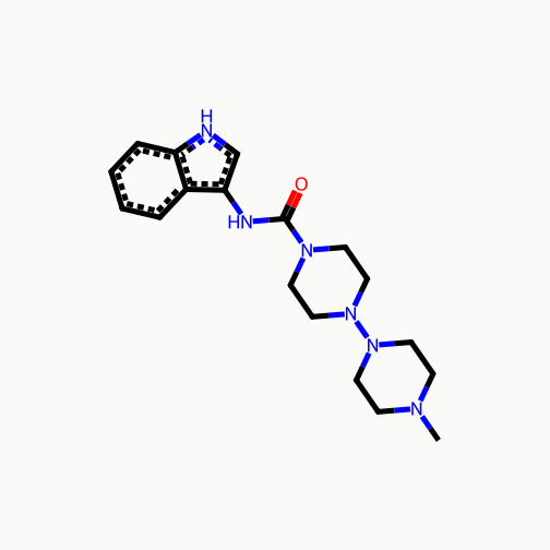 CN1CCN(N2CCN(C(=O)Nc3c[nH]c4ccccc34)CC2)CC1